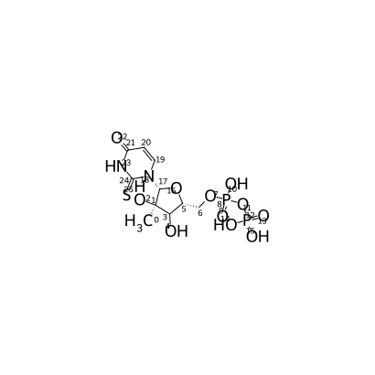 C[C@@]1(O)C(O)[C@@H](COP(=O)(O)OP(=O)(O)O)O[C@H]1n1ccc(=O)[nH]c1=S